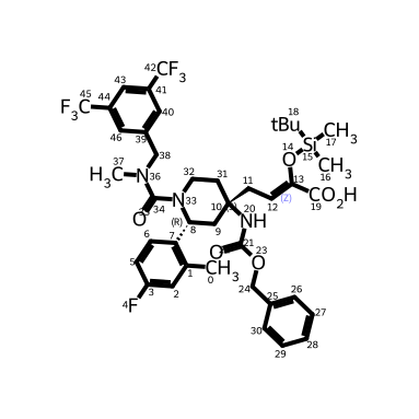 Cc1cc(F)ccc1[C@H]1C[C@@](C/C=C(\O[Si](C)(C)C(C)(C)C)C(=O)O)(NC(=O)OCc2ccccc2)CCN1C(=O)N(C)Cc1cc(C(F)(F)F)cc(C(F)(F)F)c1